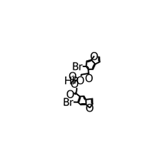 O=C(CO[PH](=O)OCC(=O)c1cc2ccoc2cc1Br)c1cc2ccoc2cc1Br